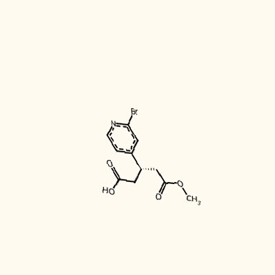 COC(=O)C[C@H](CC(=O)O)c1ccnc(Br)c1